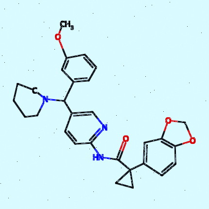 COc1cccc(C(c2ccc(NC(=O)C3(c4ccc5c(c4)OCO5)CC3)nc2)N2CCCCC2)c1